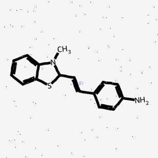 CN1c2ccccc2SC1/C=C/c1ccc(N)cc1